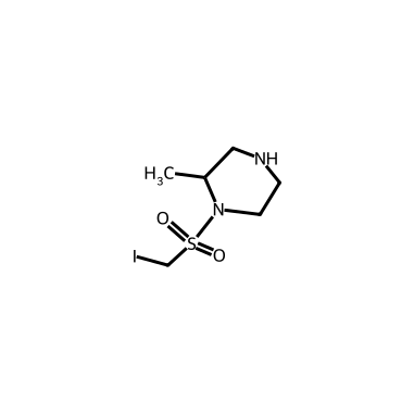 CC1CNCCN1S(=O)(=O)CI